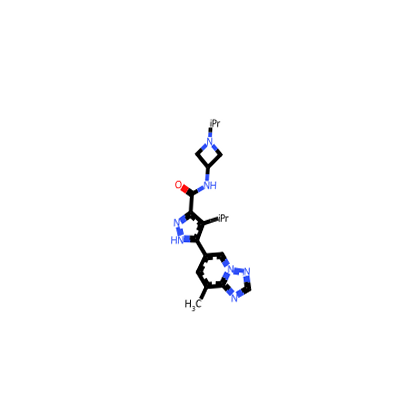 Cc1cc(-c2[nH]nc(C(=O)NC3CN(C(C)C)C3)c2C(C)C)cn2ncnc12